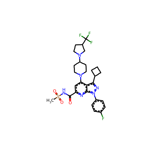 CS(=O)(=O)NC(=O)c1cc(N2CCC(N3CCC(C(F)(F)F)C3)CC2)c2c(C3CCC3)nn(-c3ccc(F)cc3)c2n1